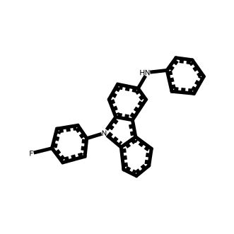 Fc1ccc(-n2c3ccccc3c3cc(Nc4ccccc4)ccc32)cc1